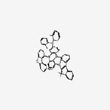 CC1=CC=CCC1N(c1ccc2c(c1)N(C1=c3c(oc4ccccc34)=CCC1)c1cc(C(C)(C)C)cc3c1B2c1cccc2c4c(n-3c12)C(C)(C)c1ccccc1-4)c1ccccc1C